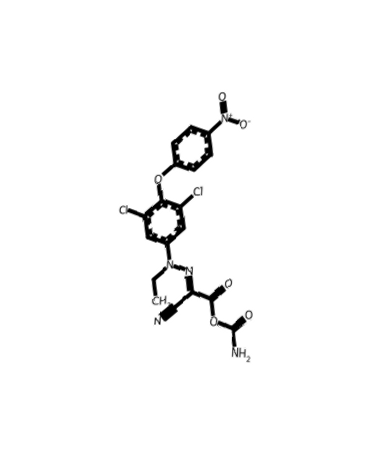 CCN(N=C(C#N)C(=O)OC(N)=O)c1cc(Cl)c(Oc2ccc([N+](=O)[O-])cc2)c(Cl)c1